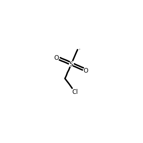 [CH2]S(=O)(=O)CCl